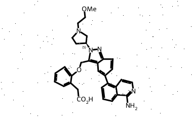 COCCN1CC[C@H](n2nc3ccc(-c4cccc5c(N)nccc45)cc3c2COc2ccccc2CC(=O)O)C1